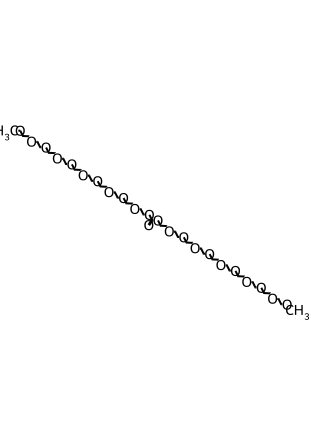 COCCOCCOCCOCCOCCOCCOCCOCCOCCOCCOC(=O)OCCOCCOCCOCCOCCOCCOCCOCCOCCOCCOC